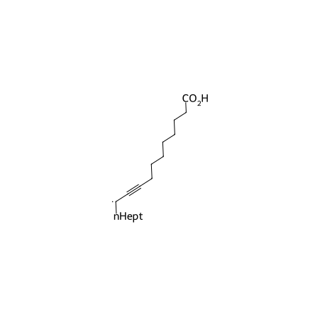 CCCCCCC[CH]C#CCCCCCCCC(=O)O